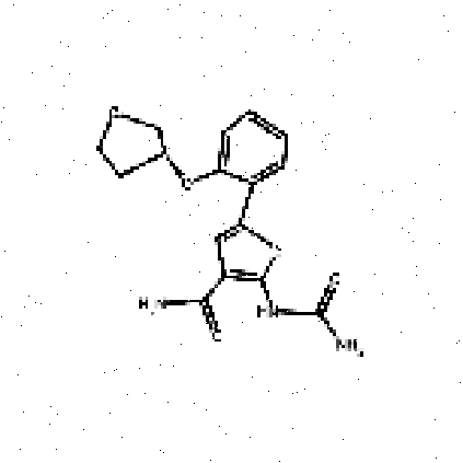 NC(=O)Nc1sc(-c2ccccc2O[C@H]2CCOC2)cc1C(N)=O